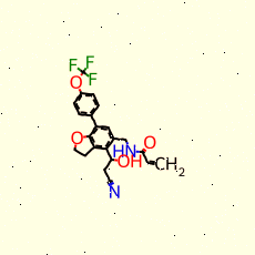 C=CC(=O)NCc1cc(-c2ccc(OC(F)(F)F)cc2)c2c(c1C(O)CC#N)CCO2